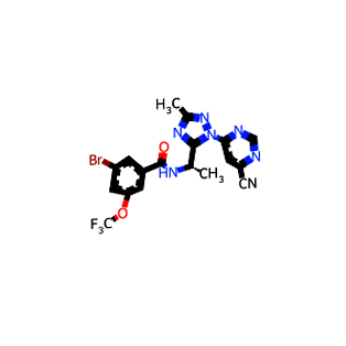 Cc1nc([C@H](C)NC(=O)c2cc(Br)cc(OC(F)(F)F)c2)n(-c2cc(C#N)ncn2)n1